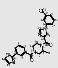 CC1CN(C(=O)c2cccc(-c3nccs3)c2)CCN1C(=O)c1ncn(-c2cccc(Cl)c2)n1